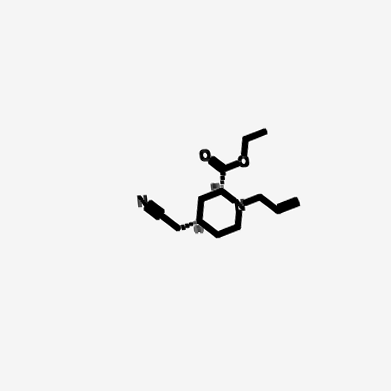 C=CCN1CC[C@H](CC#N)C[C@@H]1C(=O)OCC